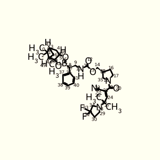 CC1(C)[C@@H]2C[C@H]3OB([C@@H](CNC(=O)OC[C@H]4CCN(C(=O)C(C#N)=CC(C)(C)N5CCC(F)(F)C5)C4)c4ccccc4)O[C@@]3(C)[C@H]1C2